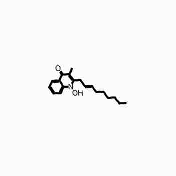 CCCCCC/C=C/Cc1c(C)c(=O)c2ccccc2n1O